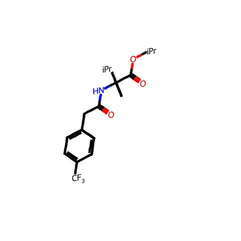 CC(C)OC(=O)C(C)(NC(=O)Cc1ccc(C(F)(F)F)cc1)C(C)C